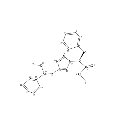 COC(=O)[C@H](Cc1ccccc1)n1cc(C[SH](OC)c2ccccc2)nn1